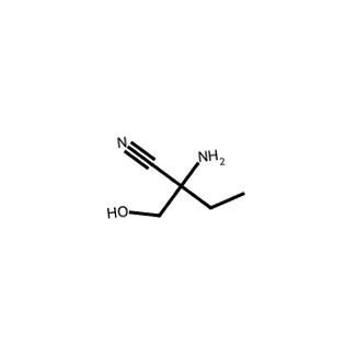 CCC(N)(C#N)CO